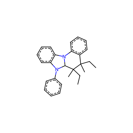 CCC1(C)c2ccccc2N2c3ccccc3N(c3ccccc3)C2C1(C)CC